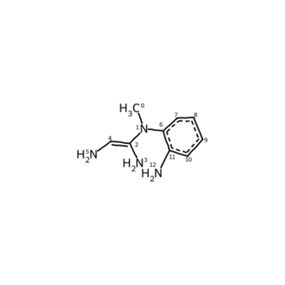 CN(/C(N)=C/N)c1ccccc1N